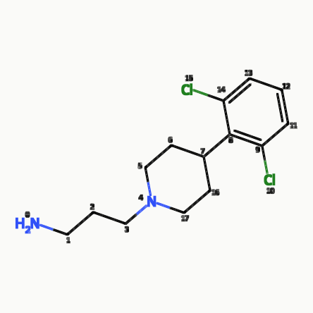 NCCCN1CCC(c2c(Cl)cccc2Cl)CC1